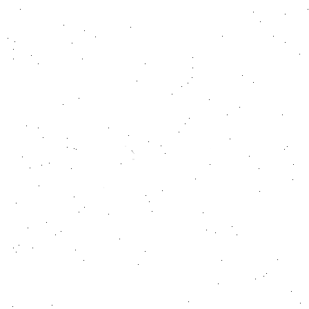 CCC[C@@H](O)Cc1cccc(OC)c1